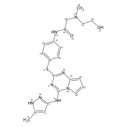 Cc1cc(Nc2nc(Sc3ccc(NC(=O)CN(C)CCO)cc3)nc3cccn23)n[nH]1